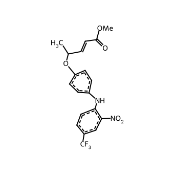 COC(=O)/C=C/C(C)Oc1ccc(Nc2ccc(C(F)(F)F)cc2[N+](=O)[O-])cc1